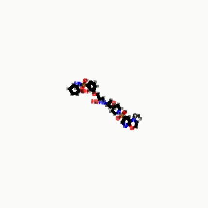 CN1CCOc2ncc(S(=O)(=O)N3CCC4(CC3)C[C@@H](NC[C@H](O)COc3cccc(S(=O)(=O)N[C@H]5CCCC[C@@H]5O)c3)CO4)cc21